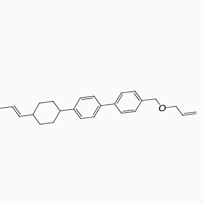 C=CCOCc1ccc(-c2ccc(C3CCC(/C=C/C)CC3)cc2)cc1